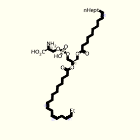 CC/C=C\C/C=C\C/C=C\CCCCCCCC(=O)O[C@H](COC(=O)CCCCCCC/C=C\CCCCCCC)COP(=O)(O)OC[C@H](N)C(=O)O